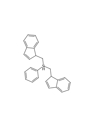 C1=CC(C[SiH](CC2C=Cc3ccccc32)c2ccccc2)c2ccccc21